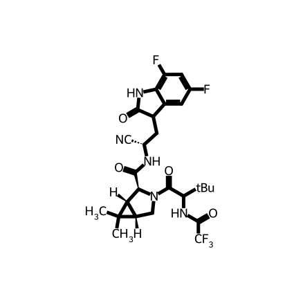 CC(C)(C)C(NC(=O)C(F)(F)F)C(=O)N1C[C@H]2[C@@H]([C@H]1C(=O)N[C@H](C#N)CC1C(=O)Nc3c(F)cc(F)cc31)C2(C)C